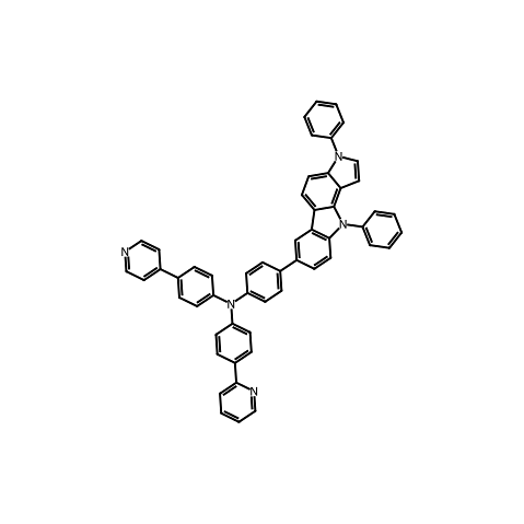 c1ccc(-n2ccc3c2ccc2c4cc(-c5ccc(N(c6ccc(-c7ccncc7)cc6)c6ccc(-c7ccccn7)cc6)cc5)ccc4n(-c4ccccc4)c23)cc1